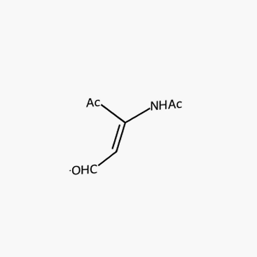 CC(=O)NC(=C[C]=O)C(C)=O